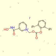 CC(C)c1cccc(C(C)C)c1OC(=O)OC[n+]1cccc(C(=O)NO)c1.[I-]